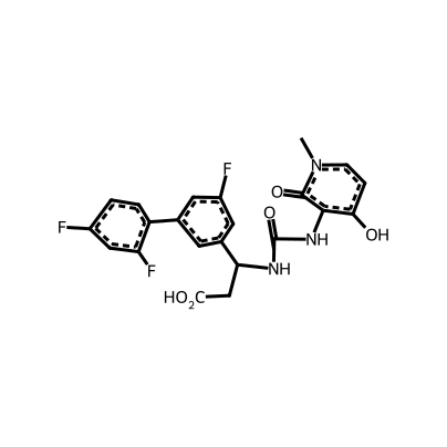 Cn1ccc(O)c(NC(=O)NC(CC(=O)O)c2cc(F)cc(-c3ccc(F)cc3F)c2)c1=O